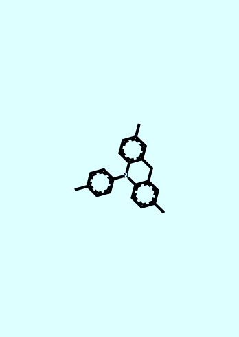 Cc1ccc(N2c3ccc(C)cc3Cc3cc(C)ccc32)cc1